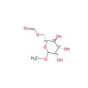 COC1O[C@H](COC=O)[C@@H](O)[C@H](O)[C@@H]1O